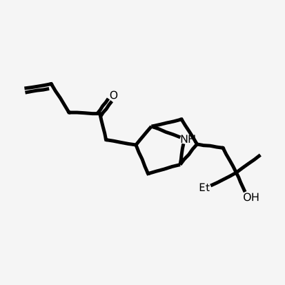 C=CCC(=O)CC1CC2NC1CC2CC(C)(O)CC